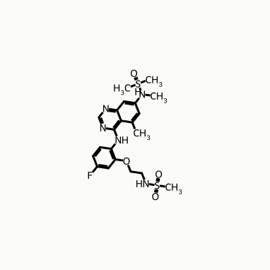 Cc1cc(N(C)[SH](C)(C)=O)cc2ncnc(Nc3ccc(F)cc3OCCNS(C)(=O)=O)c12